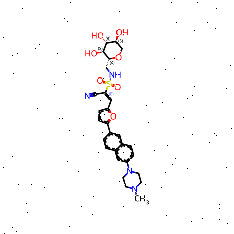 CN1CCN(c2ccc3cc(-c4ccc(/C=C(\C#N)S(=O)(=O)NC[C@H]5OC[C@H](O)[C@@H](O)[C@@H]5O)o4)ccc3c2)CC1